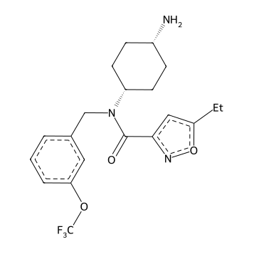 CCc1cc(C(=O)N(Cc2cccc(OC(F)(F)F)c2)[C@H]2CC[C@@H](N)CC2)no1